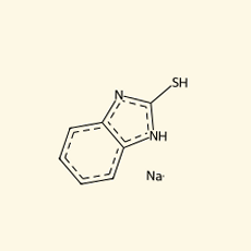 Sc1nc2ccccc2[nH]1.[Na]